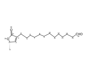 C[C@H]1C=C(CCCCCCCCCCCCC=O)C(=O)O1